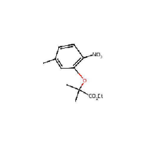 CCOC(=O)C(C)(C)Oc1cc(C)ccc1[N+](=O)[O-]